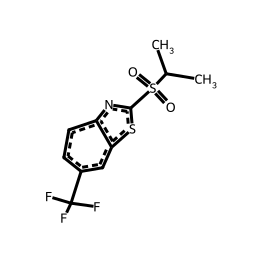 CC(C)S(=O)(=O)c1nc2ccc(C(F)(F)F)cc2s1